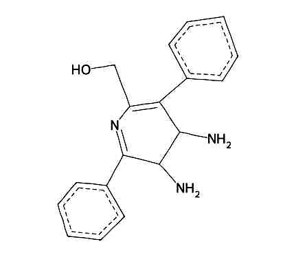 NC1C(c2ccccc2)=NC(CO)=C(c2ccccc2)C1N